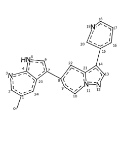 Cc1cnc2[nH]cc(-c3ccn4ncc(-c5cccnc5)c4c3)c2c1